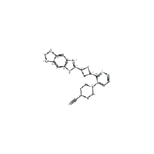 N#CC1CCN(c2nccnc2C2CN(c3nc4cc5c(cc4s3)OCO5)C2)CC1